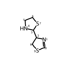 [C]1=NC(C2NCCS2)CS1